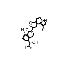 C[C@H]1c2cccc([C@H](O)C(F)F)c2CCN1C(=O)Cc1c(Cl)ccn2ncc(Cl)c12